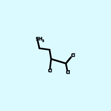 [SiH3]CCC(Cl)C(Cl)Cl